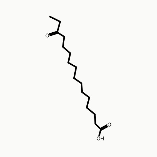 CCC(=O)CCCCCCCCCCCCC(=O)O